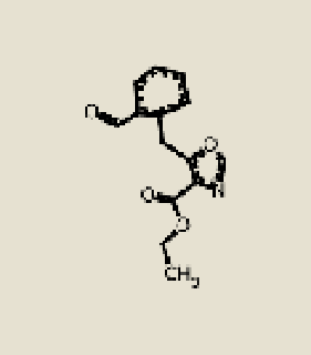 CCOC(=O)c1ncoc1Cc1ccccc1C=O